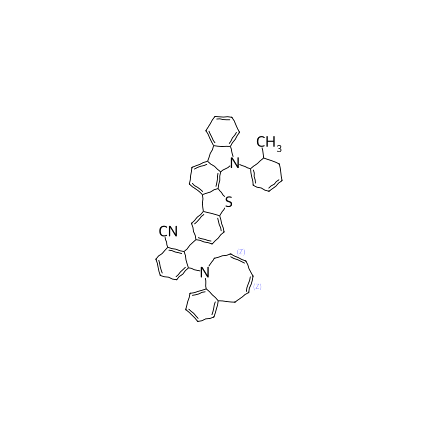 CC1CC=CC=C1n1c2ccccc2c2ccc3c4cc(-c5c(C#N)cccc5N5C/C=C\C=C/Cc6ccccc65)ccc4sc3c21